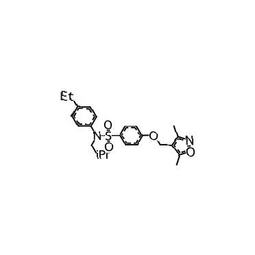 CCc1ccc(N(CC(C)C)S(=O)(=O)c2ccc(OCc3c(C)noc3C)cc2)cc1